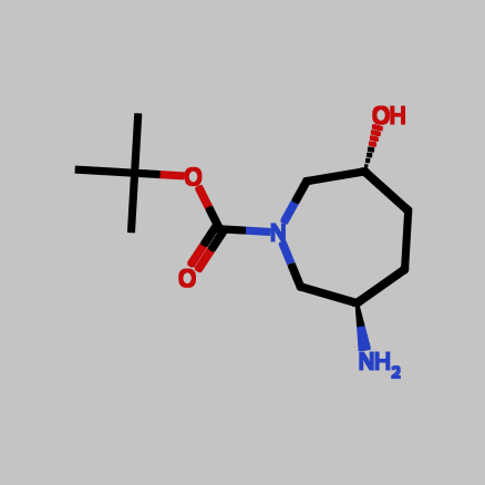 CC(C)(C)OC(=O)N1C[C@H](N)CC[C@@H](O)C1